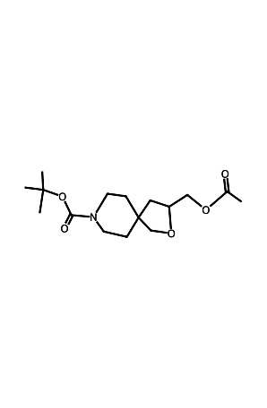 CC(=O)OCC1CC2(CCN(C(=O)OC(C)(C)C)CC2)CO1